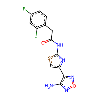 Nc1nonc1-c1csc(NC(=O)Cc2ccc(F)cc2F)n1